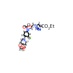 CCOC(=O)c1cn(CC2CN(c3ccc(N4CCC5(CC4)OCCO5)c(F)c3)C(=O)O2)nn1